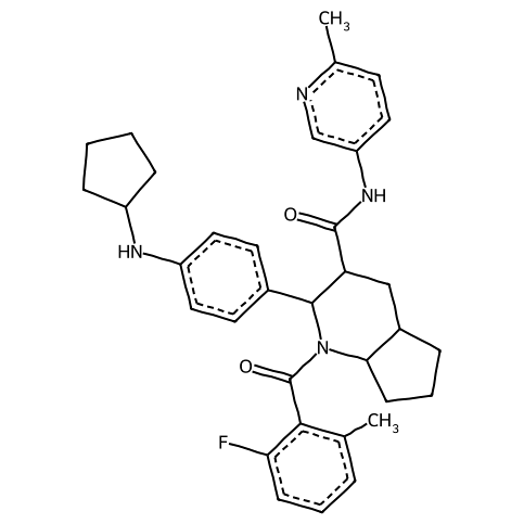 Cc1ccc(NC(=O)C2CC3CCCC3N(C(=O)c3c(C)cccc3F)C2c2ccc(NC3CCCC3)cc2)cn1